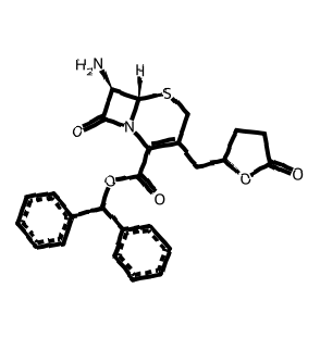 N[C@@H]1C(=O)N2C(C(=O)OC(c3ccccc3)c3ccccc3)=C(CC3CCC(=O)O3)CS[C@@H]12